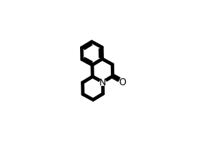 O=C1Cc2ccccc2C2CCCCN12